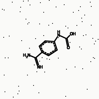 N=C(N)c1ccc(NC(=O)O)cc1